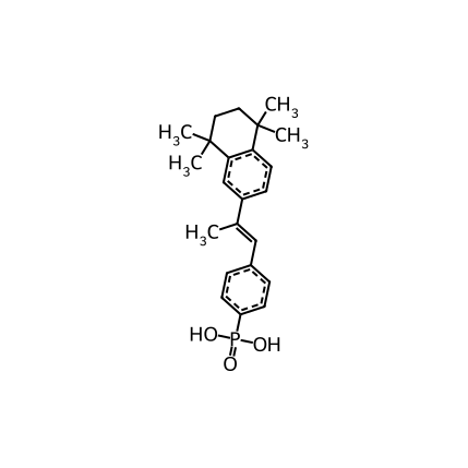 CC(=Cc1ccc(P(=O)(O)O)cc1)c1ccc2c(c1)C(C)(C)CCC2(C)C